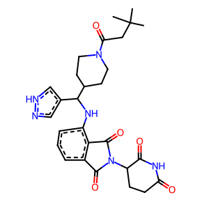 CC(C)(C)CC(=O)N1CCC(C(Nc2cccc3c2C(=O)N(C2CCC(=O)NC2=O)C3=O)c2cn[nH]c2)CC1